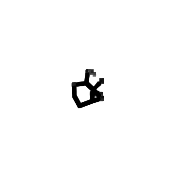 COC12CCOC(C)[C@@H]1O2